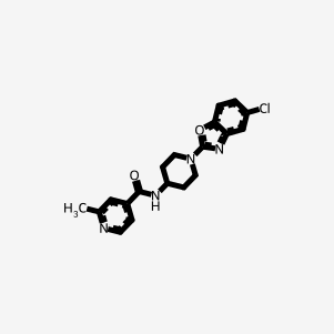 Cc1cc(C(=O)NC2CCN(c3nc4cc(Cl)ccc4o3)CC2)ccn1